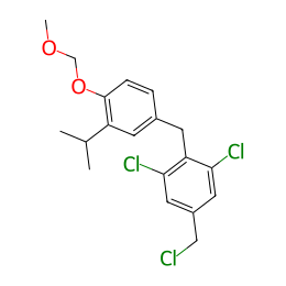 COCOc1ccc(Cc2c(Cl)cc(CCl)cc2Cl)cc1C(C)C